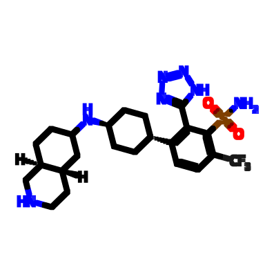 NS(=O)(=O)c1c(C(F)(F)F)ccc([C@H]2CC[C@H](NC3CC[C@@H]4CNCC[C@H]4C3)CC2)c1-c1nnn[nH]1